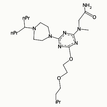 CCCC(CCC)N1CCN(c2nc(OCCOCCC(C)C)nc(N(C)CC(N)=O)n2)CC1